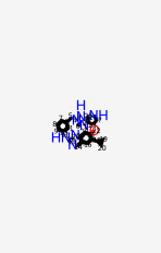 C1=NCNN1Cc1cccc(Nc2ncc3cc(C4CC4)c(OC4CCNC4)cc3n2)c1